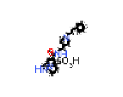 O=C(NCCC1CCN(CCCc2ccccc2)CC1)C1=CC2CNC3=CC=CC(=C1S(=O)(=O)O)N32